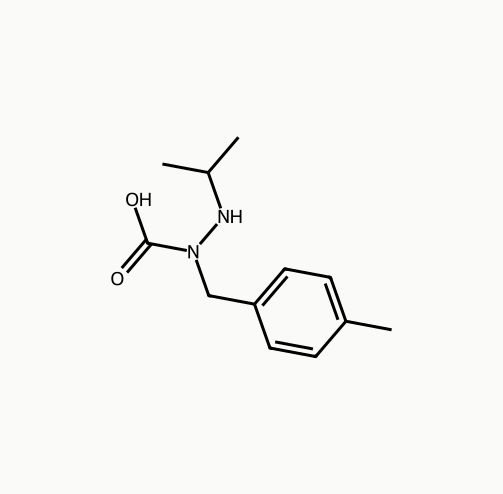 Cc1ccc(CN(NC(C)C)C(=O)O)cc1